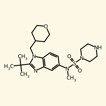 CN(c1ccc2c(c1)nc(C(C)(C)C)n2CC1CCOCC1)S(=O)(=O)N1CCNCC1